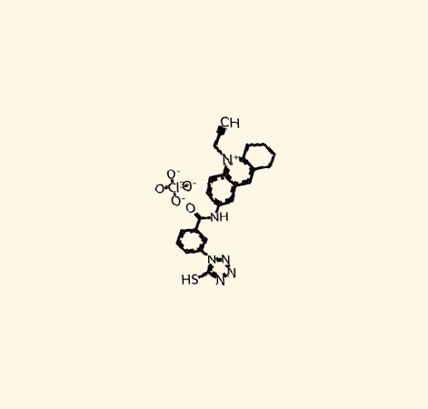 C#CC[n+]1c2c(cc3cc(NC(=O)c4cccc(-n5nnnc5S)c4)ccc31)CCCC2.[O-][Cl+3]([O-])([O-])[O-]